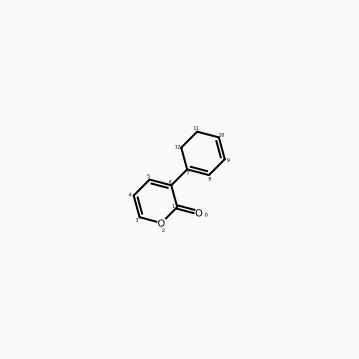 O=c1occcc1C1=CC=CCC1